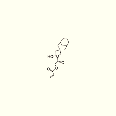 C=CC(=O)OCC(=O)OCC1(CCO)CC2CCCC(C2)C1